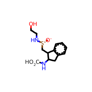 O=C(O)NC1Cc2ccccc2C1C[S+]([O-])NCCO